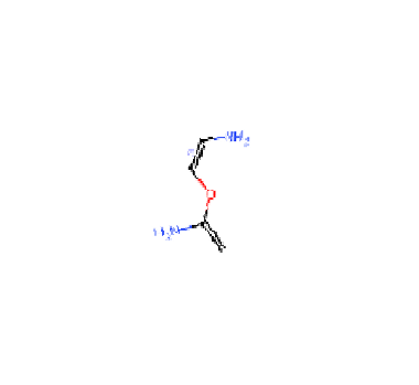 C=C(N)O/C=C\N